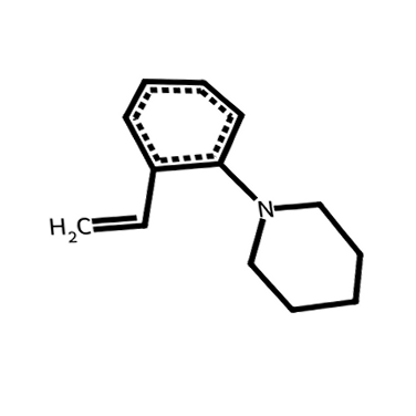 C=Cc1ccccc1N1CCCCC1